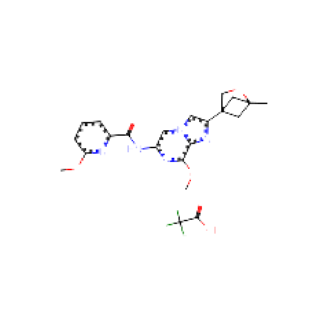 COc1cccc(C(=O)Nc2cn3cc(C45COC(C)(C4)C5)nc3c(OC)n2)n1.O=C(O)C(F)(F)F